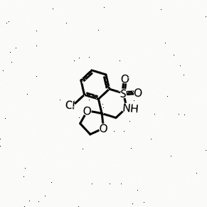 O=S1(=O)NCC2(OCCO2)c2c(Cl)cccc21